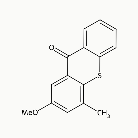 COc1cc(C)c2sc3ccccc3c(=O)c2c1